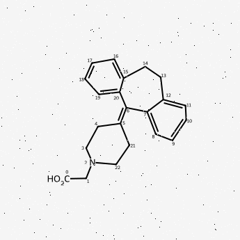 O=C(O)CN1CCC(=C2c3ccccc3CCc3ccccc32)CC1